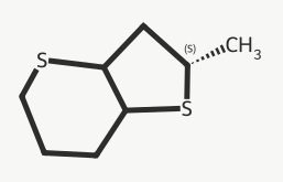 C[C@H]1CC2SCCCC2S1